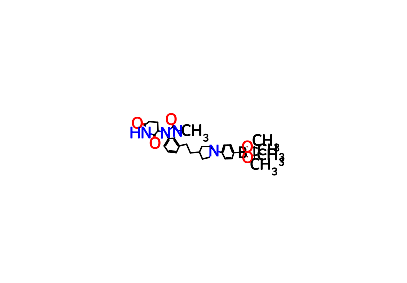 Cn1c(=O)n(C2CCC(=O)NC2=O)c2cccc(CCC3CCN(c4ccc(B5OC(C)(C)C(C)(C)O5)cc4)CC3)c21